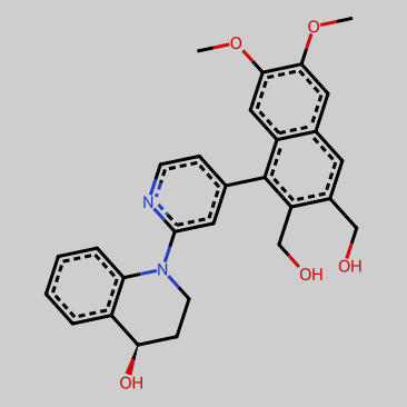 COc1cc2cc(CO)c(CO)c(-c3ccnc(N4CC[C@@H](O)c5ccccc54)c3)c2cc1OC